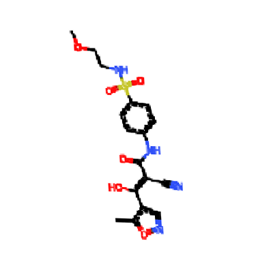 COCCNS(=O)(=O)c1ccc(NC(=O)/C(C#N)=C(\O)c2cnoc2C)cc1